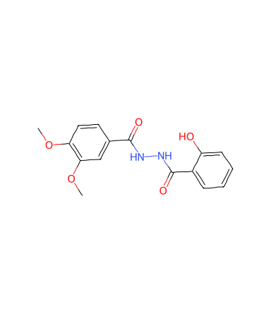 COc1ccc(C(=O)NNC(=O)c2ccccc2O)cc1OC